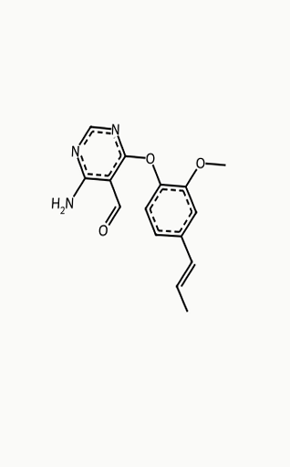 CC=Cc1ccc(Oc2ncnc(N)c2C=O)c(OC)c1